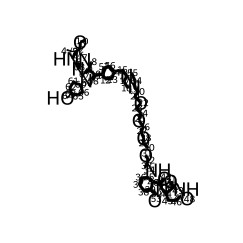 COC[C@H](C)Nc1ncc2c(-c3ccc(CN4CCN(CCOCCOCCOCCOCCNc5cccc6c5C(=O)N(C5CCC(=O)NC5=O)C6=O)CC4)cc3)cn([C@H]3CC[C@H](O)CC3)c2n1